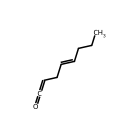 CCCC=CCC=C=O